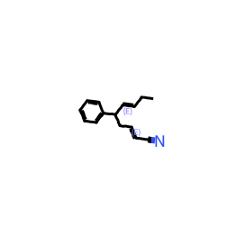 CC/C=C/C(C/C=C/C#N)c1ccccc1